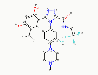 CC(C)c1cc(-c2nnc(C(=O)NCC(F)(F)F)n2-c2ccc(N3CCN(C)CC3)c(F)c2)c(O)cc1O